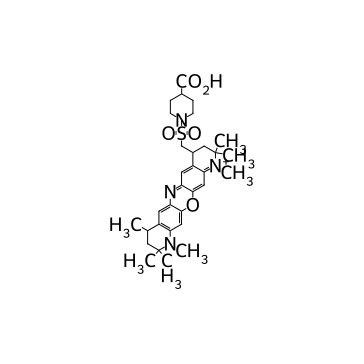 CC1CC(C)(C)N(C)c2cc3c(cc21)N=c1cc2c(cc1O3)=[N+](C)C(C)(C)CC2CS(=O)(=O)N1CCC(C(=O)O)CC1